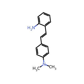 CN(C)c1ccc(/C=C/c2ccccc2N)cc1